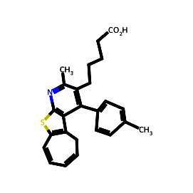 Cc1ccc(-c2c(CCCCC(=O)O)c(C)nc3sc4c(c23)CC=CC=C4)cc1